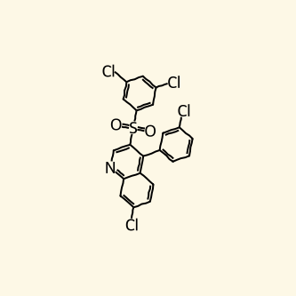 O=S(=O)(c1cc(Cl)cc(Cl)c1)c1cnc2cc(Cl)ccc2c1-c1cccc(Cl)c1